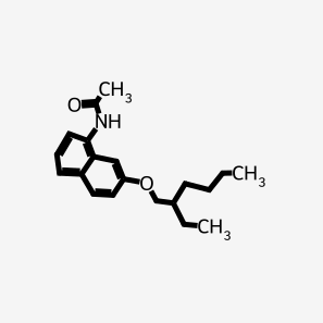 CCCCC(CC)COc1ccc2cccc(NC(C)=O)c2c1